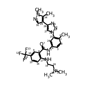 Cc1ccc(NC(=O)c2cc(C(F)(F)F)ccc2NCCN(C)C)cc1-n1cc(-c2cnn(C)c2C)nn1